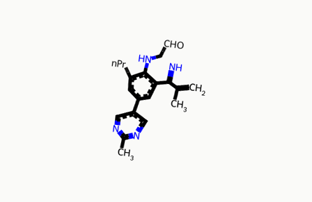 C=C(C)C(=N)c1cc(-c2cnc(C)nc2)cc(CCC)c1NCC=O